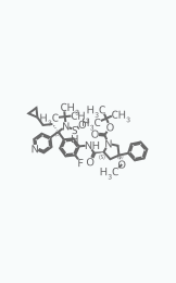 CO[C@]1(c2ccccc2)C[C@@H](C(=O)Nc2cc([C@@](CCC3CC3)(c3ccncc3)N([SH]=O)C(C)(C)C)ccc2F)N(C(=O)OC(C)(C)C)C1